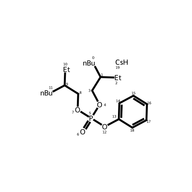 CCCCC(CC)COP(=O)(OCC(CC)CCCC)Oc1ccccc1.[CsH]